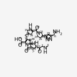 CNCC(=O)N[C@H](C)[C@H]1C(=O)N2C(C(=O)O)=C(S[C@@H]3CN[C@H](C(=O)N4CC[C@H](n5cc(CN)nn5)C4)C3)[C@H](C)[C@H]12